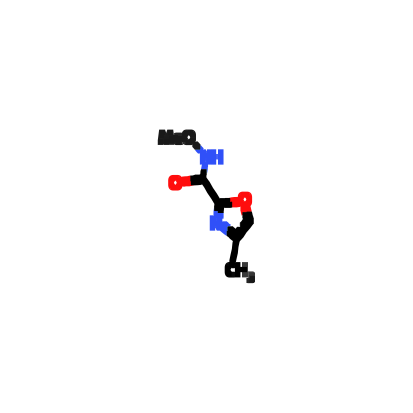 CONC(=O)c1nc(C)co1